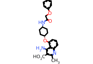 Cc1nc2cccc(O[C@H]3CC[C@H](NC(=O)COc4ccccc4)CC3)c2c(N)c1C(=O)O